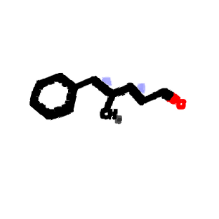 CC(/C=C/C=O)=C\c1ccccc1